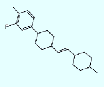 Cc1ccc(C2CCC(/C=C/C3CCC(C)CC3)CC2)cc1F